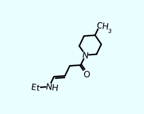 CCNC=CCC(=O)N1CCC(C)CC1